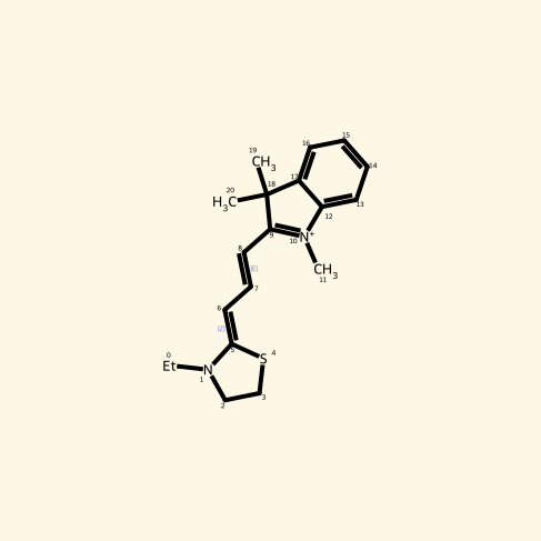 CCN1CCS/C1=C\C=C\C1=[N+](C)c2ccccc2C1(C)C